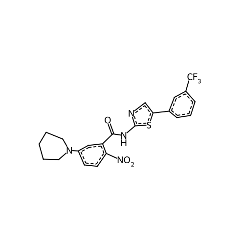 O=C(Nc1ncc(-c2cccc(C(F)(F)F)c2)s1)c1cc(N2CCCCC2)ccc1[N+](=O)[O-]